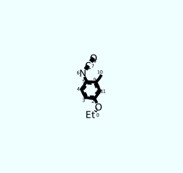 CCOc1ccc(N=C=O)c(C)c1